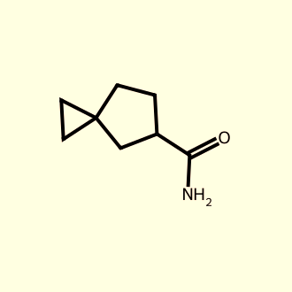 NC(=O)C1CCC2(CC2)C1